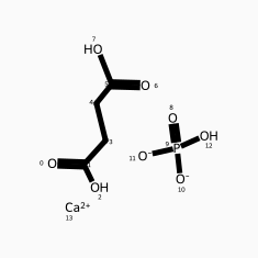 O=C(O)CCC(=O)O.O=P([O-])([O-])O.[Ca+2]